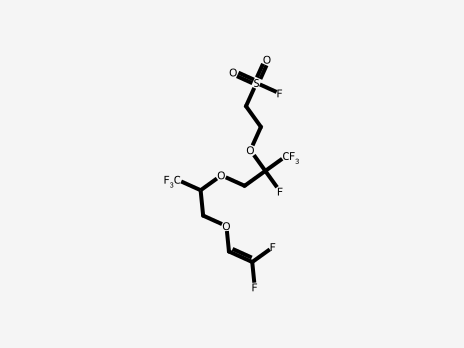 O=S(=O)(F)CCOC(F)(COC(COC=C(F)F)C(F)(F)F)C(F)(F)F